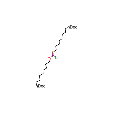 CCCCCCCCCCCCCCCCCCOP(Cl)SCCCCCCCCCCCCCCCCCC